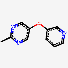 Cc1ncc(Oc2cccnc2)cn1